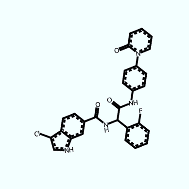 O=C(NC(C(=O)Nc1ccc(-n2ccccc2=O)cc1)c1ccccc1F)c1ccc2c(Cl)c[nH]c2c1